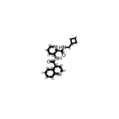 O=C(NCC1CCC1)c1ncccc1NC(=O)c1ccnc2ccccc12